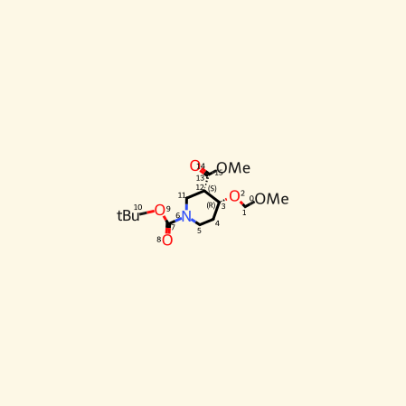 COCO[C@@H]1CCN(C(=O)OC(C)(C)C)C[C@@H]1C(=O)OC